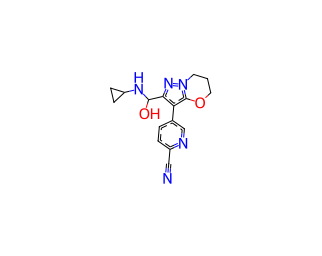 N#Cc1ccc(-c2c(C(O)NC3CC3)nn3c2OCCC3)cn1